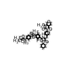 Cn1c2c(c(=O)n(-c3ccc(C[C@H](NC(=O)c4cc(F)c(NS(=O)(=O)c5ccc(NC(=O)C(C)(C)C)cc5)cc4F)C(=O)OC4CCCCC4)cn3)c1=O)CCOC2